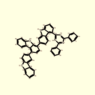 c1ccc(-c2nc(-c3ccccc3)nc(-c3cccc4sc5cc(-c6ccc(-c7ccc8sc9ccccc9c8c7)c7c6oc6ccccc67)ccc5c34)n2)cc1